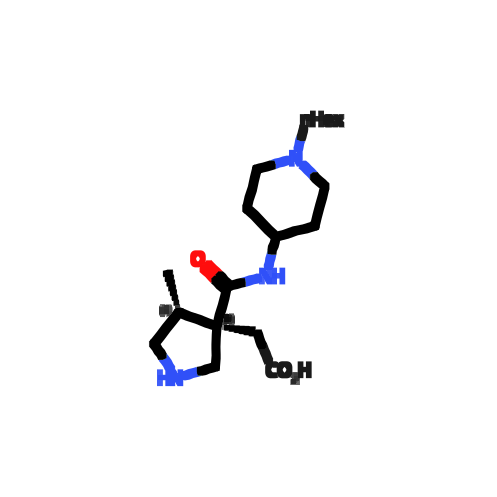 CCCCCCN1CCC(NC(=O)[C@@]2(CC(=O)O)CNC[C@@H]2C)CC1